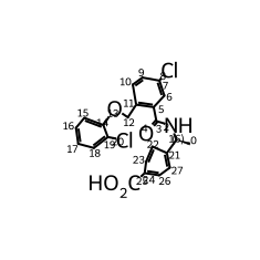 C[C@H](NC(=O)c1cc(Cl)ccc1COc1ccccc1Cl)c1ccc(C(=O)O)cc1